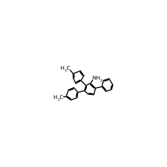 Cc1ccc(-c2ccc(-c3ccccc3)c(N)c2-c2ccc(C)cc2)cc1